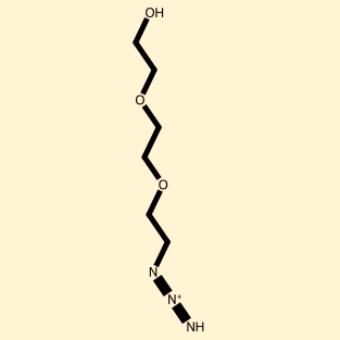 N=[N+]=NCCOCCOCCO